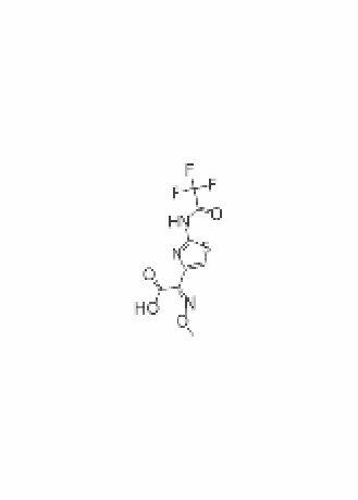 CON=C(C(=O)O)c1csc(NC(=O)C(F)(F)F)n1